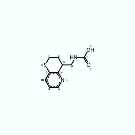 O=C(O)NCC1CCSc2cccnc21